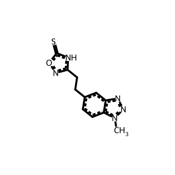 Cn1nnc2cc(CCc3noc(=S)[nH]3)ccc21